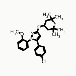 COc1ccccc1-n1nc(OC2CC(C)(C)SC(C)(C)C2)cc1-c1ccc(Cl)cc1